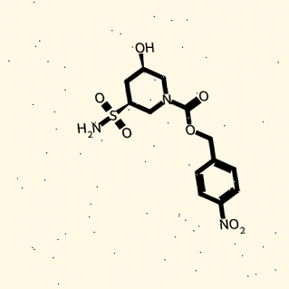 NS(=O)(=O)[C@H]1C[C@@H](O)CN(C(=O)OCc2ccc([N+](=O)[O-])cc2)C1